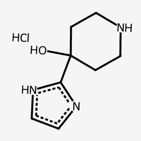 Cl.OC1(c2ncc[nH]2)CCNCC1